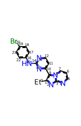 CCc1nc2ncccn2c1-c1ccnc(Nc2ccc(Br)cc2)n1